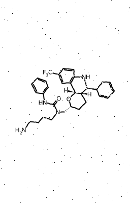 NCCCCN(C[C@H]1CC[C@@H]2[C@H](O1)c1cc(C(F)(F)F)ccc1N[C@H]2C1C=CC=CC1)C(=O)Nc1ccccc1